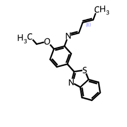 C/C=C/C=Nc1cc(-c2nc3ccccc3s2)ccc1OCC